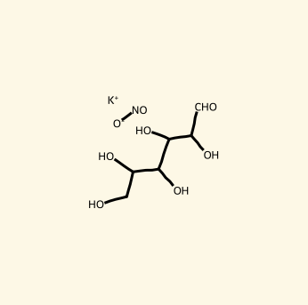 O=CC(O)C(O)C(O)C(O)CO.O=N[O-].[K+]